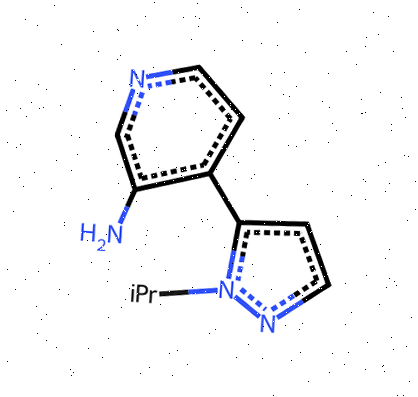 CC(C)n1nccc1-c1ccncc1N